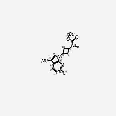 CN(C(=O)OC(C)(C)C)C1CC(n2cc(C#N)c3ccc(Cl)nc32)C1